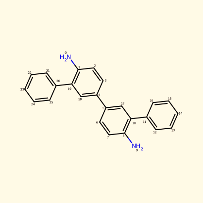 Nc1ccc(-c2ccc(N)c(-c3ccccc3)c2)cc1-c1ccccc1